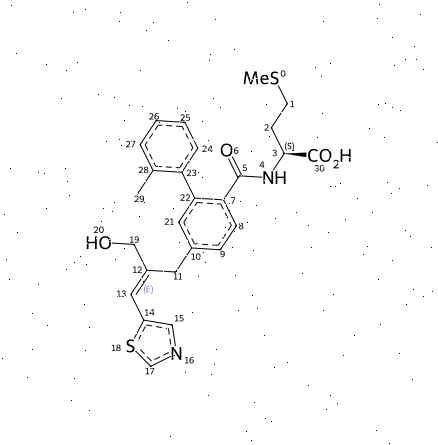 CSCC[C@H](NC(=O)c1ccc(C/C(=C\c2cncs2)CO)cc1-c1ccccc1C)C(=O)O